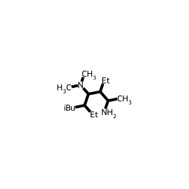 CCC(C)C(CC)C(C(CC)C(C)N)N(C)C